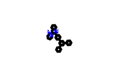 C1=CCCC(c2cc(-c3ccccc3)cc(-c3ccc(-c4nc5ccccc5c5nc6ccccn6c45)cc3)c2)=C1